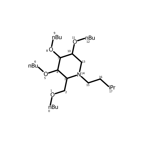 CCCCOCC1C(OCCCC)C(OCCCC)C(OCCCC)CN1CCC(C)C